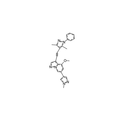 COc1cc(-c2cnn(C)c2)cn2ncc(C#Cc3c(C)nn(-c4ccccc4)c3C)c12